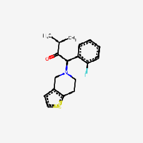 CC(C)C(=O)C(c1ccccc1F)N1CCc2sccc2C1